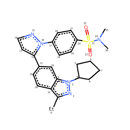 CCc1nn(C2CCCC2)c2cc(-c3ccnn3-c3ccc(S(=O)(=O)N(C)C)cc3)ccc12